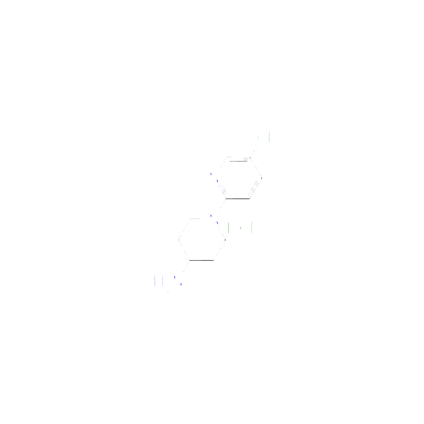 Cl.NC1CCN(c2ccc(Cl)cn2)CC1